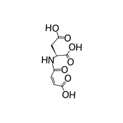 O=C(O)/C=C\C(=O)N[C@@H](CC(=O)O)C(=O)O